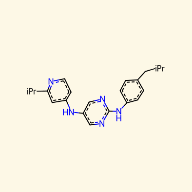 CC(C)Cc1ccc(Nc2ncc(Nc3ccnc(C(C)C)c3)cn2)cc1